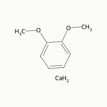 COc1ccccc1OC.[CaH2]